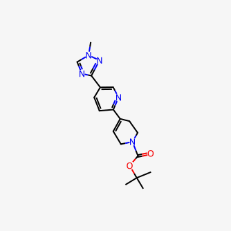 Cn1cnc(-c2ccc(C3=CCN(C(=O)OC(C)(C)C)CC3)nc2)n1